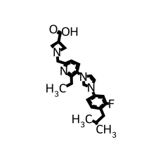 CCc1nc(CN2CC(C(=O)O)C2)ccc1N1C=CN(c2ccc(CC(C)C)c(F)c2)C1